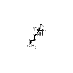 C=CCCNC(F)(F)F